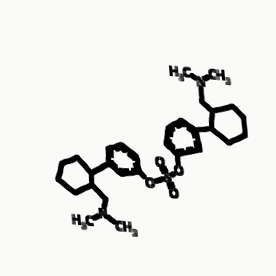 CN(C)CC1CCCCC1c1cccc(OS(=O)(=O)Oc2cccc(C3CCCCC3CN(C)C)c2)c1